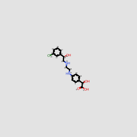 O=C(O)C(O)c1ccc(NCCNC[C@H](O)c2cccc(Cl)c2)cc1